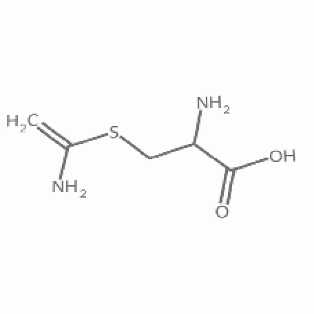 C=C(N)SCC(N)C(=O)O